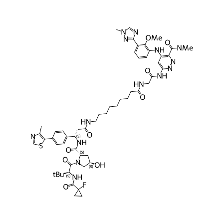 CNC(=O)c1nnc(NC(=O)CNC(=O)CCCCCCCCNC(=O)C[C@H](NC(=O)[C@@H]2C[C@@H](O)CN2C(=O)[C@@H](NC(=O)C2(F)CC2)C(C)(C)C)c2ccc(-c3scnc3C)cc2)cc1Nc1cccc(-c2ncn(C)n2)c1OC